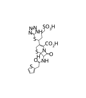 O=C(Cc1cccs1)NC1C(=O)N2C(C(=O)O)=C(C(CCCS(=O)(=O)O)Sc3nnn[nH]3)CS[C@@H]12